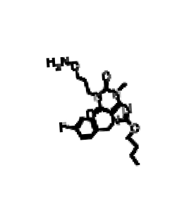 CCCCOc1nc2c(c(=O)n(CCCON)c(=O)n2C)n1Cc1ccc(F)cc1